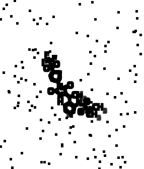 CC(c1ccncc1NS(=O)(=O)N(C)C)C1NC(=O)N(c2ccc(S(=O)(=O)C(F)(F)F)cc2)C1=O